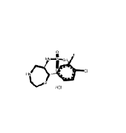 CS(=O)(=O)N[C@@H]1CNCCO[C@H]1c1ccc(Cl)c(F)c1.Cl